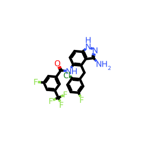 Nc1n[nH]c2ccc(NC(=O)c3cc(F)cc(C(F)(F)F)c3)c(Cc3cc(F)ccc3Cl)c12